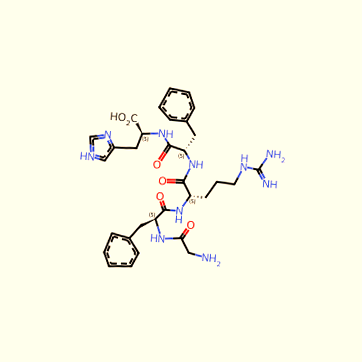 N=C(N)NCCC[C@H](NC(=O)[C@H](Cc1ccccc1)NC(=O)CN)C(=O)N[C@@H](Cc1ccccc1)C(=O)N[C@@H](Cc1c[nH]cn1)C(=O)O